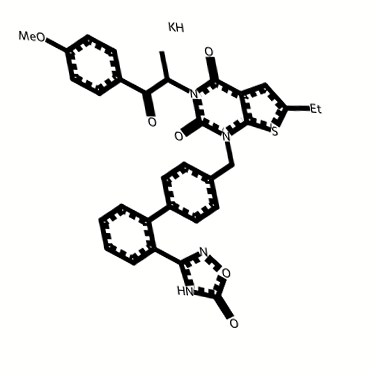 CCc1cc2c(=O)n(C(C)C(=O)c3ccc(OC)cc3)c(=O)n(Cc3ccc(-c4ccccc4-c4noc(=O)[nH]4)cc3)c2s1.[KH]